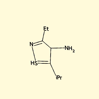 CCC1=N[SH]=C(C(C)C)C1N